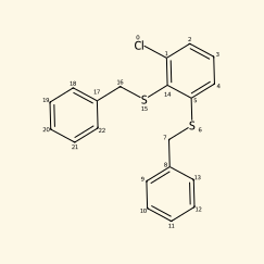 Clc1cccc(SCc2ccccc2)c1SCc1ccccc1